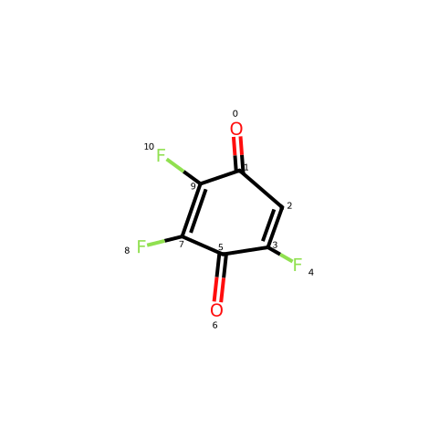 O=C1C=C(F)C(=O)C(F)=C1F